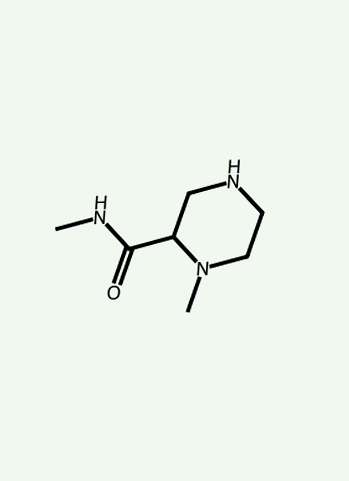 CNC(=O)C1CNCCN1C